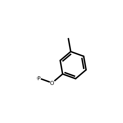 Cc1cccc(O[P])c1